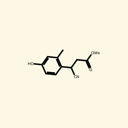 COC(=O)CC(C#N)c1ccc(O)cc1C